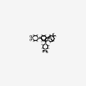 CC1(C)CC2CN(C(=O)N3CCS(=O)(=O)CC3)CC1N(c1ccc(N3CCS(=O)(=O)CC3)cc1)C2